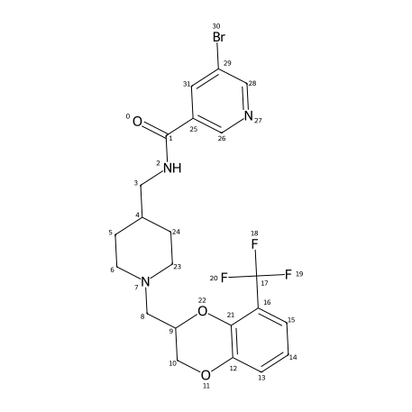 O=C(NCC1CCN(CC2COc3cccc(C(F)(F)F)c3O2)CC1)c1cncc(Br)c1